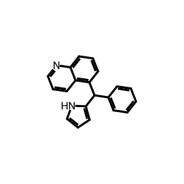 c1ccc(C(c2ccc[nH]2)c2cccc3ncccc23)cc1